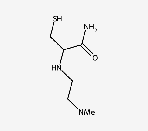 CNCCNC(CS)C(N)=O